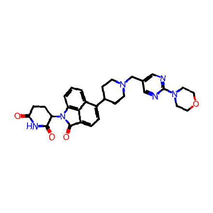 O=C1CCC(N2C(=O)c3ccc(C4CCN(Cc5cnc(N6CCOCC6)nc5)CC4)c4cccc2c34)C(=O)N1